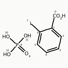 O=C(O)c1ccccc1I.O=P(O)(O)O